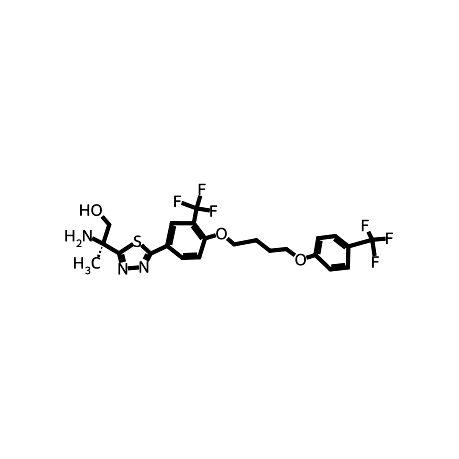 C[C@](N)(CO)c1nnc(-c2ccc(OCCCCOc3ccc(C(F)(F)F)cc3)c(C(F)(F)F)c2)s1